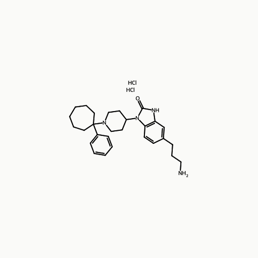 Cl.Cl.NCCCc1ccc2c(c1)[nH]c(=O)n2C1CCN(C2(c3ccccc3)CCCCCC2)CC1